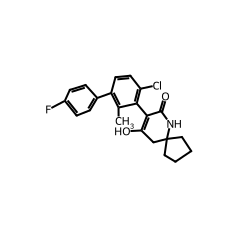 Cc1c(-c2ccc(F)cc2)ccc(Cl)c1C1=C(O)CC2(CCCC2)NC1=O